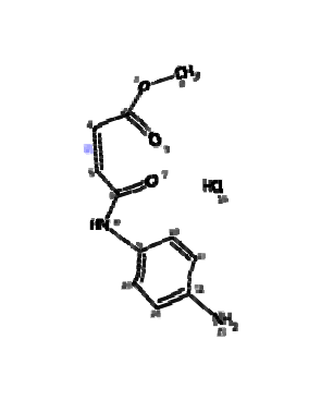 COC(=O)/C=C\C(=O)Nc1ccc(N)cc1.Cl